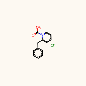 O=C(O)[n+]1ccccc1Cc1ccccc1.[Cl-]